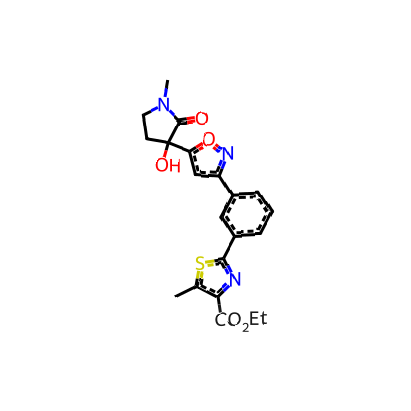 CCOC(=O)c1nc(-c2cccc(-c3cc(C4(O)CCN(C)C4=O)on3)c2)sc1C